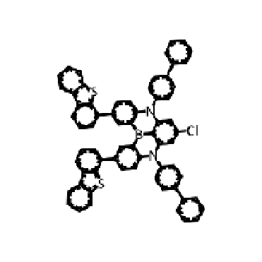 Clc1cc2c3c(c1)N(c1ccc(-c4ccccc4)cc1)c1ccc(-c4cccc5c4sc4ccccc45)cc1B3c1cc(-c3cccc4c3sc3ccccc34)ccc1N2c1ccc(-c2ccccc2)cc1